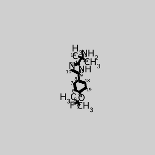 CC(C)(F)Oc1ccc(-c2cnc(C(C)(C)N)[nH]2)cc1